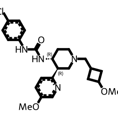 COc1ccc([C@@H]2CN(CC3CC(OC)C3)CC[C@H]2NC(=O)Nc2ccc(Cl)cc2)nc1